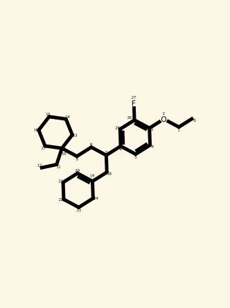 CCOc1ccc(C(CCC2(CC)CCCCC2)CC2=CCCCC2)cc1F